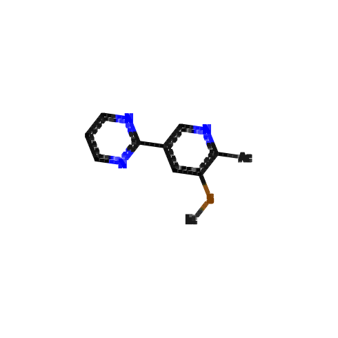 CCSc1cc(-c2ncccn2)cnc1C(C)=O